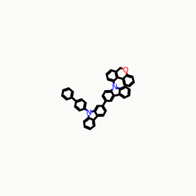 c1ccc(-c2ccc(-n3c4ccccc4c4ccc(-c5ccc6c(c5)c5ccccc5n6-c5cccc6c5-c5ccccc5OC6)cc43)cc2)cc1